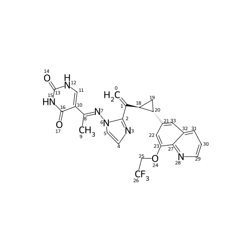 C=C(c1nccn1/N=C(\C)c1c[nH]c(=O)[nH]c1=O)[C@H]1C[C@@H]1c1cc(OCC(F)(F)F)c2ncccc2c1